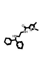 Cc1cc(C(=O)NCCNC(C2=CCCC=C2)c2ccccc2)nn1C